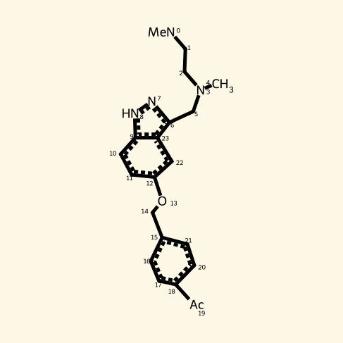 CNCCN(C)Cc1n[nH]c2ccc(OCc3ccc(C(C)=O)cc3)cc12